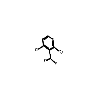 FC(F)c1c(Cl)ccnc1Cl